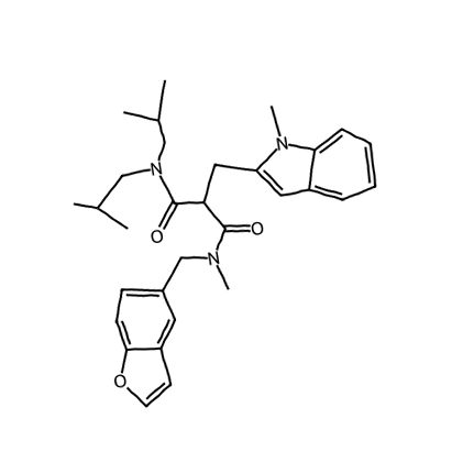 CC(C)CN(CC(C)C)C(=O)C(Cc1cc2ccccc2n1C)C(=O)N(C)Cc1ccc2occc2c1